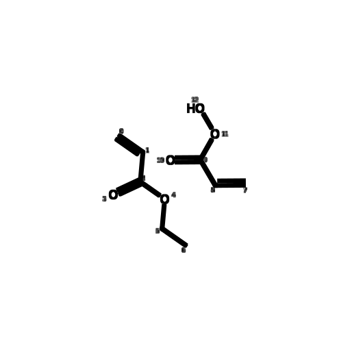 C=CC(=O)OCC.C=CC(=O)OO